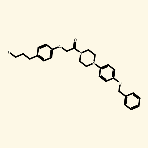 O=C(COc1ccc(CCCF)cc1)N1CCN(c2ccc(OCc3ccccc3)cc2)CC1